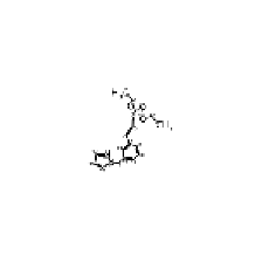 CCOP(=O)(C/C=C/c1cccc(Cn2cccn2)c1)OCC